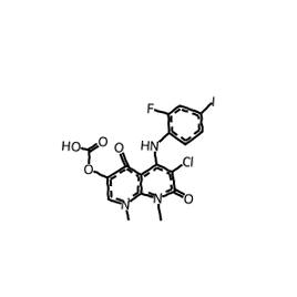 Cn1cc(OC(=O)O)c(=O)c2c(Nc3ccc(I)cc3F)c(Cl)c(=O)n(C)c21